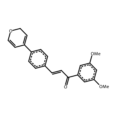 COc1cc(OC)cc(C(=O)C=Cc2ccc(C3=CCOC=C3)cc2)c1